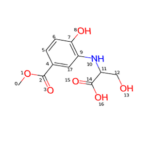 COC(=O)c1ccc(O)c(NC(CO)C(=O)O)c1